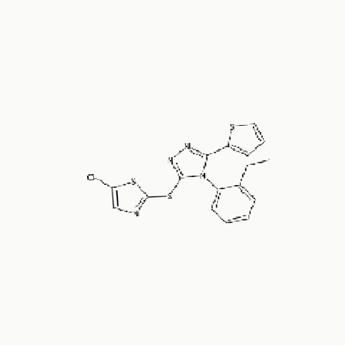 CCc1ccccc1-n1c(Sc2ncc(Cl)s2)nnc1-c1cccs1